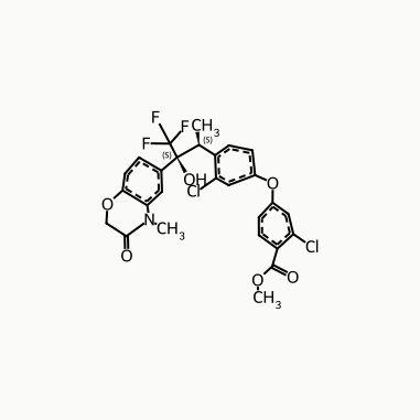 COC(=O)c1ccc(Oc2ccc([C@H](C)[C@](O)(c3ccc4c(c3)N(C)C(=O)CO4)C(F)(F)F)c(Cl)c2)cc1Cl